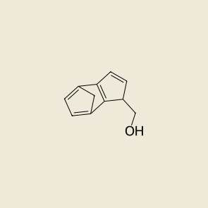 OCC1C=CC2=C1C1=CC=C2C1